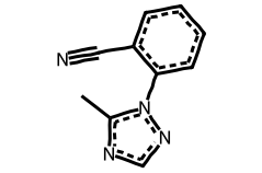 Cc1ncnn1-c1ccccc1C#N